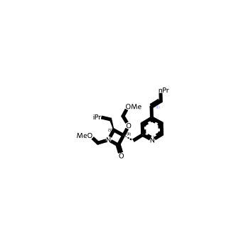 CCC/C=C/c1ccnc(C[C@]2(OCOC)C(=O)N(COC)[C@H]2CC(C)C)c1